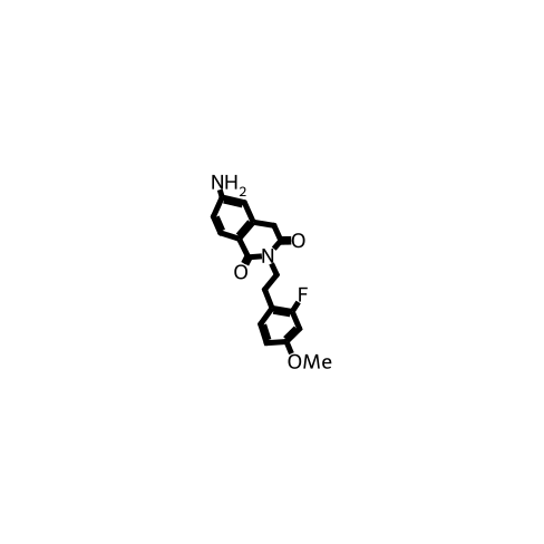 COc1ccc(CCN2C(=O)Cc3cc(N)ccc3C2=O)c(F)c1